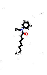 CC(=O)CCCCCCC(=O)N(c1ccccc1)C(C)C